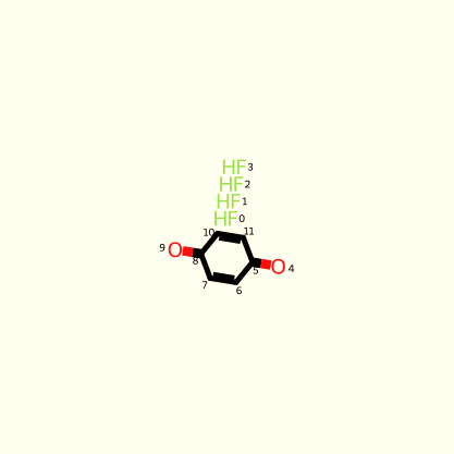 F.F.F.F.O=C1C=CC(=O)C=C1